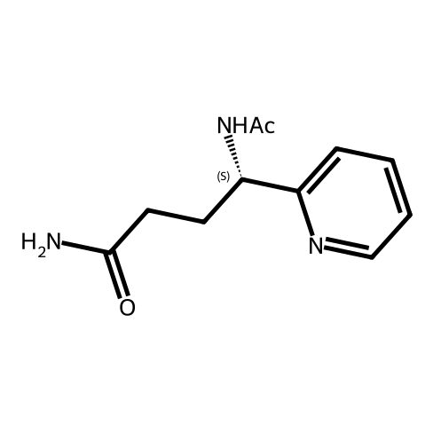 CC(=O)N[C@@H](CCC(N)=O)c1ccccn1